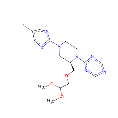 COC(COC[C@H]1CN(c2ncc(I)cn2)CCN1c1ncncn1)OC